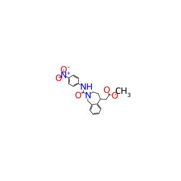 COC(=O)CC1CCN(C(=O)Nc2ccc([N+](=O)[O-])cc2)Cc2ccccc21